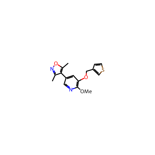 COc1ncc(-c2c(C)noc2C)cc1OCc1ccsc1